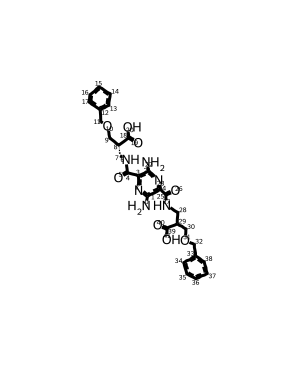 Nc1nc(C(=O)NC[C@H](COCc2ccccc2)C(=O)O)c(N)nc1C(=O)NCC(COCc1ccccc1)C(=O)O